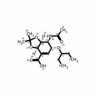 CCC(CC)O[C@@H]1C=C(C(=O)O)[C@H]2OC(C)(C)O[C@H]2[C@H]1NC(C)=O